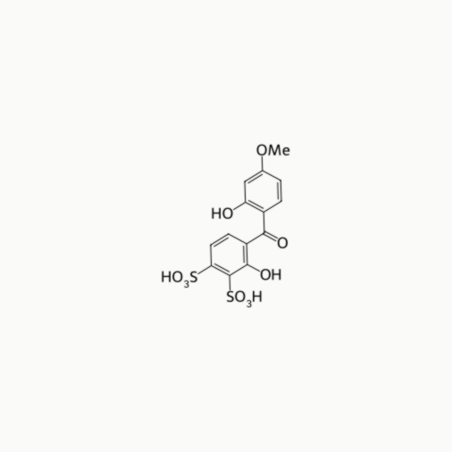 COc1ccc(C(=O)c2ccc(S(=O)(=O)O)c(S(=O)(=O)O)c2O)c(O)c1